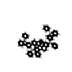 c1ccc(N(c2ccc3c4c(ccc3c2)-c2c(cc(N(c3ccccc3)c3ccc5c(c3)c3ccccc3n5-c3ccccc3)c3ccccc23)C42c3ccccc3-c3ccccc32)c2ccc3c(c2)c2ccccc2n3-c2ccccc2)cc1